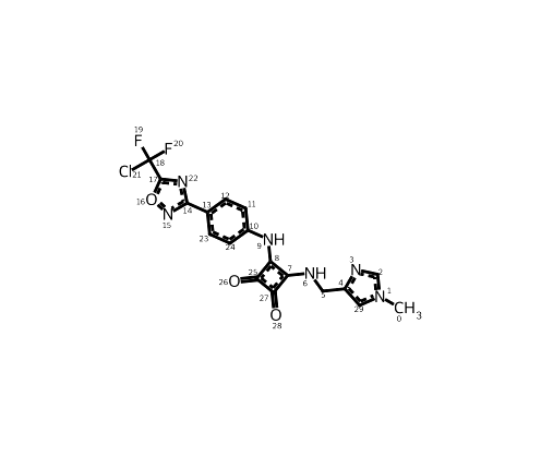 Cn1cnc(CNc2c(Nc3ccc(-c4noc(C(F)(F)Cl)n4)cc3)c(=O)c2=O)c1